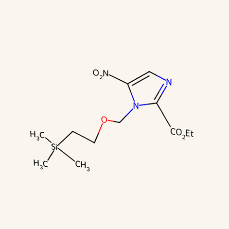 CCOC(=O)c1ncc([N+](=O)[O-])n1COCC[Si](C)(C)C